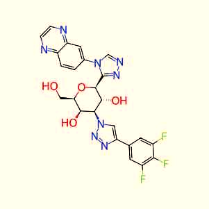 OC[C@H]1O[C@@H](c2nncn2-c2ccc3nccnc3c2)[C@H](O)[C@@H](n2cc(-c3cc(F)c(F)c(F)c3)nn2)[C@H]1O